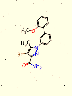 Cc1c(Br)c(C(N)=O)nn1-c1cccc(-c2ccccc2OC(F)(F)F)c1